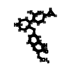 CCc1cc2ncc(CN3CCNCCC3C(/C=C\CC3CC3)=C(/N)F)cc2[nH]c1=O